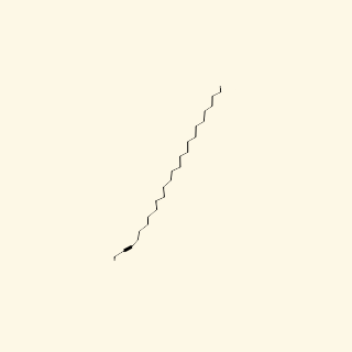 [CH2]CC#CCCCCCCCCCCCCCCCCCCCCC[CH2]